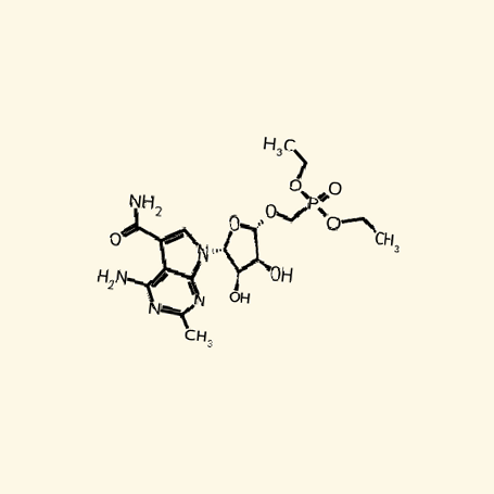 CCOP(=O)(CO[C@H]1O[C@@H](n2cc(C(N)=O)c3c(N)nc(C)nc32)[C@H](O)[C@@H]1O)OCC